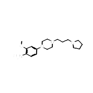 COc1cc(N2CCN(CCCN3CCCC3)CC2)ccc1N